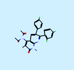 CC(=O)N(C(C)=O)c1c(C)c(=O)n(C)c2nc(-c3ccc(Cl)cc3Cl)c(-c3ccc(Cl)cc3)cc12